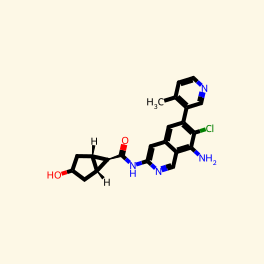 Cc1ccncc1-c1cc2cc(NC(=O)[C@H]3[C@@H]4CC(O)C[C@@H]43)ncc2c(N)c1Cl